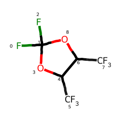 FC1(F)OC(C(F)(F)F)C(C(F)(F)F)O1